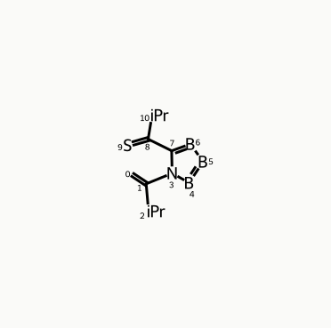 C=C(C(C)C)n1bbbc1C(=S)C(C)C